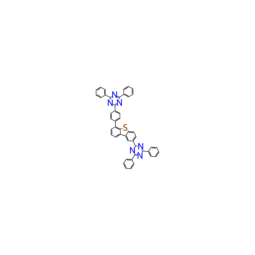 c1ccc(-c2nc(-c3ccccc3)nc(-c3ccc(-c4cccc5c4sc4ccc(-c6nc(-c7ccccc7)nc(-c7ccccc7)n6)cc45)cc3)n2)cc1